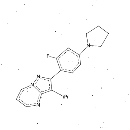 CC(C)c1c(-c2ccc(N3CCCC3)cc2F)nn2cccnc12